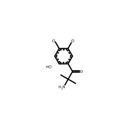 CC(C)(N)C(=O)c1ccc(Cl)c(Cl)c1.Cl